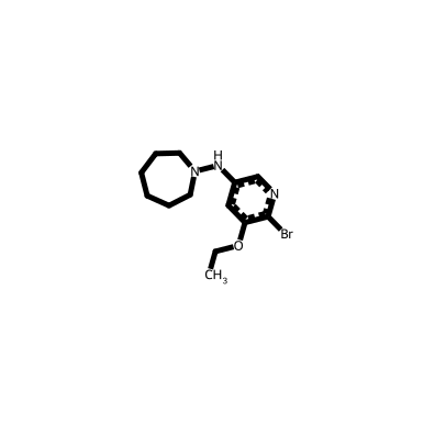 CCOc1cc(NN2CCCCCC2)cnc1Br